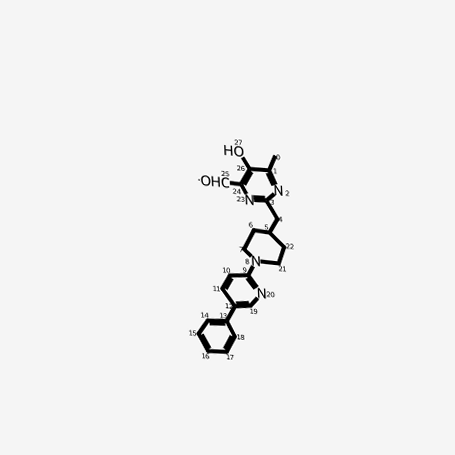 Cc1nc(CC2CCN(c3ccc(-c4ccccc4)cn3)CC2)nc([C]=O)c1O